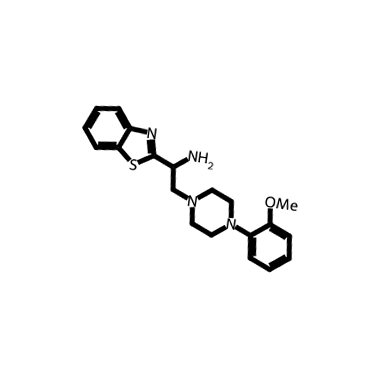 COc1ccccc1N1CCN(CC(N)c2nc3ccccc3s2)CC1